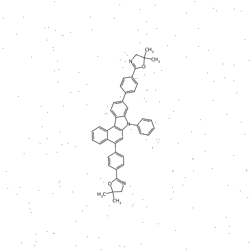 CC1(C)CN=C(c2ccc(-c3ccc4c5c6ccccc6c(-c6ccc(C7=NCC(C)(C)O7)cc6)cc5n(-c5ccccc5)c4c3)cc2)O1